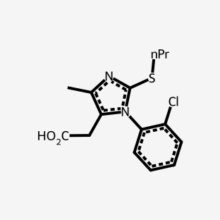 CCCSc1nc(C)c(CC(=O)O)n1-c1ccccc1Cl